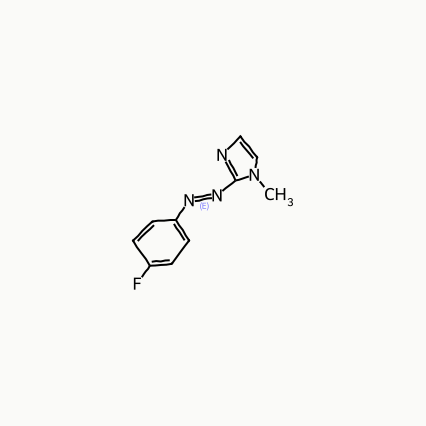 Cn1ccnc1/N=N/c1ccc(F)cc1